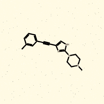 Cc1cccc(C#Cc2c[nH]c(N3CCN(C)CC3)n2)c1